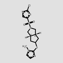 Cn1ccnc1SC1C[C@@H]2CN(S(=O)(=O)c3cnc(Cl)s3)C[C@@H]2C1